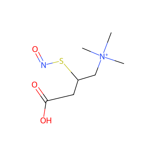 C[N+](C)(C)CC(CC(=O)O)SN=O